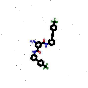 Nc1cc(C(=O)Nc2cccc(C#Cc3ccc(C(F)(F)F)cc3)c2)cc(C(=O)Nc2cccc(-c3ccc(C(F)(F)F)cc3)c2)c1